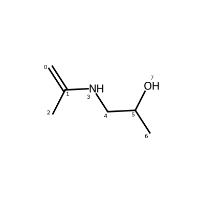 C=C(C)NCC(C)O